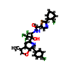 C[C@@H]1COc2c1cc([C@@](O)(CNC(=O)c1cnc(-c3ccccc3F)s1)C(F)(F)F)nc2-c1ccc(F)cc1